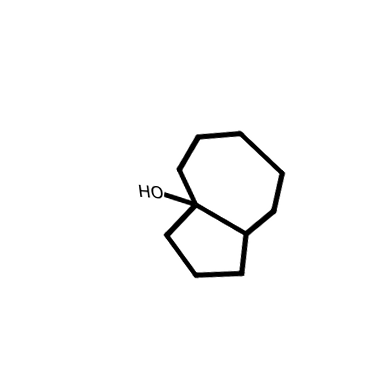 OC12CCCCCC1CCC2